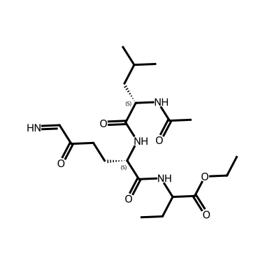 CCOC(=O)C(CC)NC(=O)[C@H](CCC(=O)C=N)NC(=O)[C@H](CC(C)C)NC(C)=O